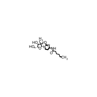 C=CCCCC(=O)Nc1ccn([C@@H]2O[C@H](CO)C(O)[C@]2(C)F)c(=O)n1